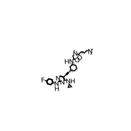 CN(C)C/C=C/C(=O)N(C)CC(=O)N[C@H]1CCC[C@@H](C#Cc2cnc(Nc3ccc(F)cc3)nc2NC2CC2)C1